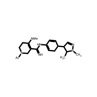 CNC1=C(C(=N)NC2=CCC(C3C=NN(C)C3C)C=C2)CN(C(C)=O)CC1